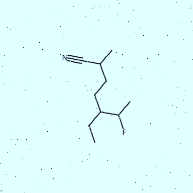 CCC(CCC(C)C#N)C(C)F